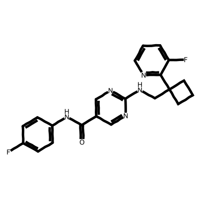 O=C(Nc1ccc(F)cc1)c1cnc(NCC2(c3ncccc3F)CCC2)nc1